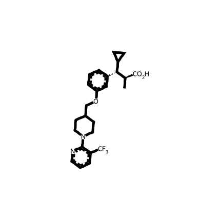 C[C@H](C(=O)O)[C@H](c1cccc(OCC2CCN(c3ncccc3C(F)(F)F)CC2)c1)C1CC1